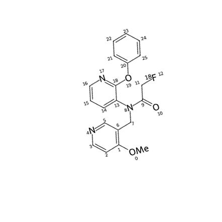 COc1ccncc1CN(C(=O)C[18F])c1cccnc1Oc1ccccc1